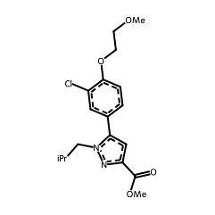 COCCOc1ccc(-c2cc(C(=O)OC)nn2CC(C)C)cc1Cl